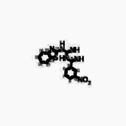 N=C(NC(=N)c1cccc([N+](=O)[O-])c1)Nc1nc2ccccc2s1